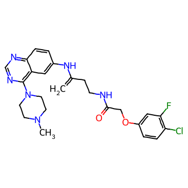 C=C(CCNC(=O)COc1ccc(Cl)c(F)c1)Nc1ccc2ncnc(N3CCN(C)CC3)c2c1